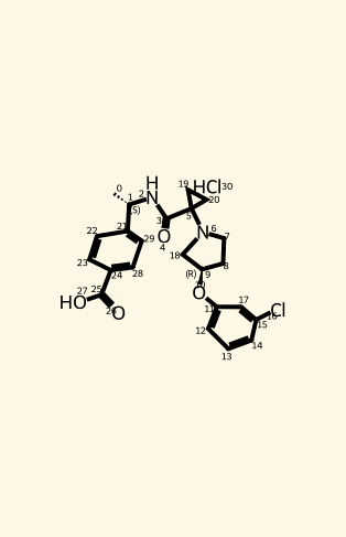 C[C@H](NC(=O)C1(N2CC[C@@H](Oc3cccc(Cl)c3)C2)CC1)c1ccc(C(=O)O)cc1.Cl